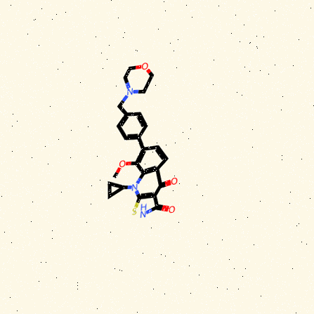 COc1c(-c2ccc(CN3CCOCC3)cc2)ccc2c(=O)c3c(=O)[nH]sc3n(C3CC3)c12